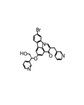 O=c1c(Cc2cccnc2)cn2c3cc(Br)ccc3c3cc(O[C@H](CO)c4cccnc4)cc1c32